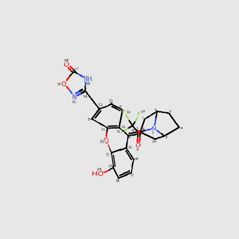 O=C(N1C2CCC1CC(=C1c3ccc(-c4noc(=O)[nH]4)cc3Oc3c(O)cccc31)C2)C(F)(F)F